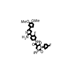 COc1ccc(-c2cnc(N)c(-c3ccc(NC(=O)c4cn(C(C)C)c(=O)n(-c5ccc(F)cc5)c4=O)cc3F)c2)cc1OC